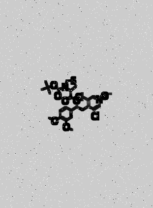 COc1ccc([C@H](Cc2c(Cl)c[n+]([O-])cc2Cl)OC(=O)[C@@H]2CSCN2C(=O)OC(C)(C)C)cc1OC